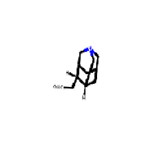 O=CC[C@@H]1C2CC3C[C@H]1CN(C3)C2